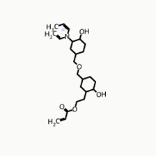 C=CC(=O)OCCC1CC(COCC2CCC(O)C(N(C=C)/C=C\C)C2)CCC1O